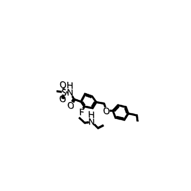 CCNCC.CCc1ccc(OCc2ccc(C(=O)NS(C)(=O)=O)c(F)c2)cc1